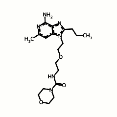 CCCc1nc2c(N)nc(C)cc2n1CCOCCNC(=O)N1CCOCC1